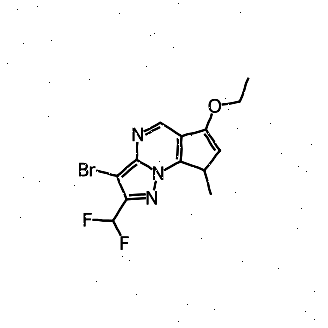 CCOC1=CC(C)c2c1cnc1c(Br)c(C(F)F)nn21